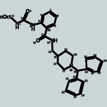 CCCCCCCCNC(=O)Nc1ccccc1C(=O)NCC1CCN(C(c2ccccc2)c2ccccc2)CC1